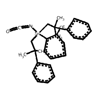 CC(C)([CH2][Sn]([CH2]C(C)(C)c1ccccc1)([N]=C=O)[c]1ccccc1C(F)(F)F)c1ccccc1